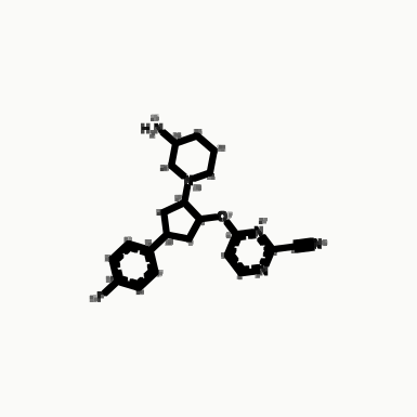 N#Cc1nccc(OC2CC(c3ccc(F)cc3)CC2N2CCCC(N)C2)n1